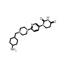 NC1CCC(CN2CCN(c3ccc(N4CCC(=O)NC4=O)cn3)CC2)CC1